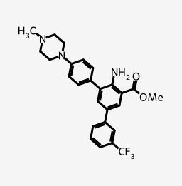 COC(=O)c1cc(-c2cccc(C(F)(F)F)c2)cc(-c2ccc(N3CCN(C)CC3)cc2)c1N